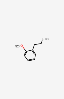 CCCCCCCCc1ccccc1OC#N